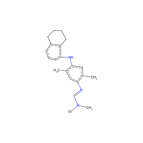 CCN(C)C=Nc1cc(C)c(Nc2cccc3c2CCCC3)cc1C